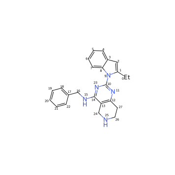 CCc1cc2ccccc2n1-c1nc2c(c(NCc3ccccc3)n1)CNCC2